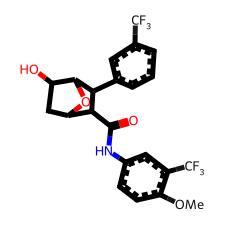 COc1ccc(NC(=O)C2C3CC(O)C(O3)C2c2cccc(C(F)(F)F)c2)cc1C(F)(F)F